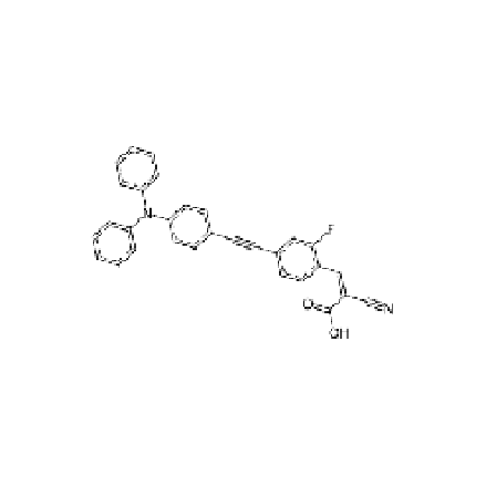 N#C/C(=C/c1ccc(C#Cc2ccc(N(c3ccccc3)c3ccccc3)cc2)cc1F)C(=O)O